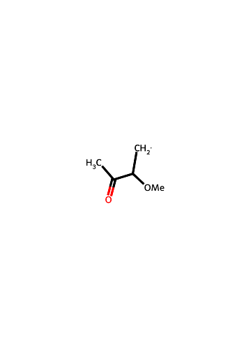 [CH2]C(OC)C(C)=O